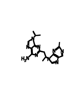 Cc1ncc2ncn(C(C)Cc3nc(N)c4ncn(C(C)C)c4n3)c2n1